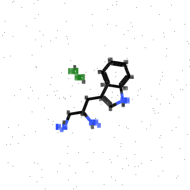 Cl.Cl.NCC(N)Cc1c[nH]c2ccccc12